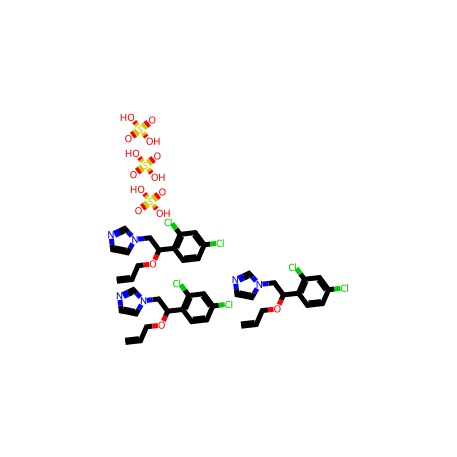 C=CCOC(Cn1ccnc1)c1ccc(Cl)cc1Cl.C=CCOC(Cn1ccnc1)c1ccc(Cl)cc1Cl.C=CCOC(Cn1ccnc1)c1ccc(Cl)cc1Cl.O=S(=O)(O)O.O=S(=O)(O)O.O=S(=O)(O)O